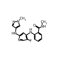 CNC(=O)c1ccccc1Nc1cc(Nc2cnn(C)c2)ncc1F